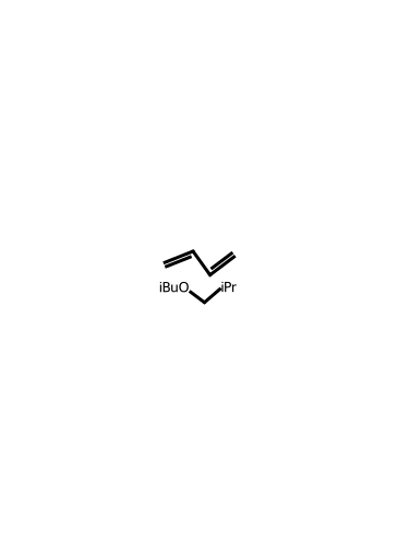 C=CC=C.CC(C)COCC(C)C